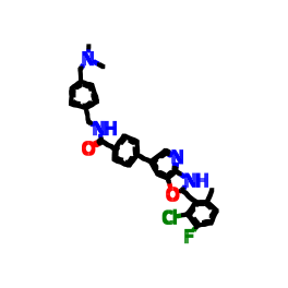 Cc1ccc(F)c(Cl)c1C1Nc2ncc(-c3ccc(C(=O)NCc4ccc(CN(C)C)cc4)cc3)cc2O1